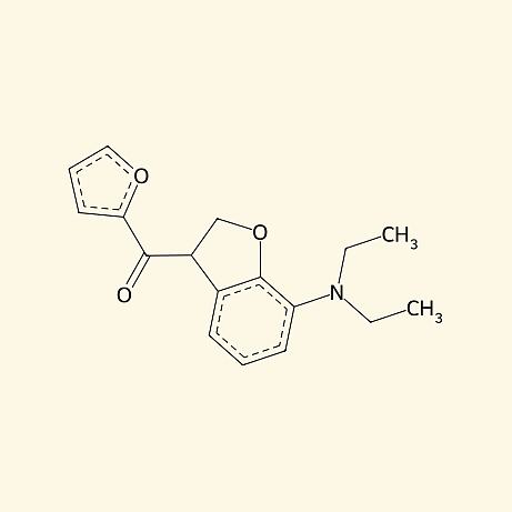 CCN(CC)c1cccc2c1OCC2C(=O)c1ccco1